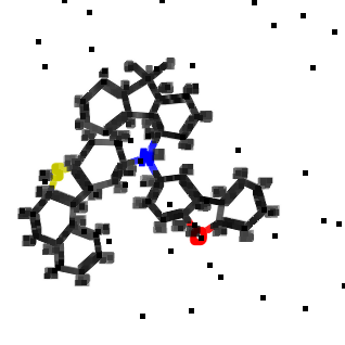 CC1(C)c2ccccc2-c2c(N(C3=Cc4c(sc5ccc6ccccc6c45)CC3)c3ccc4oc5ccccc5c4c3)cccc21